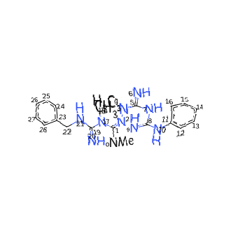 CNC(=NN(C)C(=N)NC(=N)Nc1ccccc1)N(C)C(=N)NCc1ccccc1